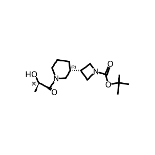 C[C@@H](O)C(=O)N1CCC[C@H](C2CN(C(=O)OC(C)(C)C)C2)C1